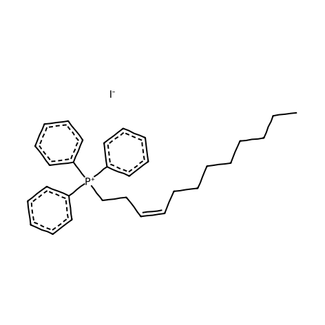 CCCCCCCC/C=C\CC[P+](c1ccccc1)(c1ccccc1)c1ccccc1.[I-]